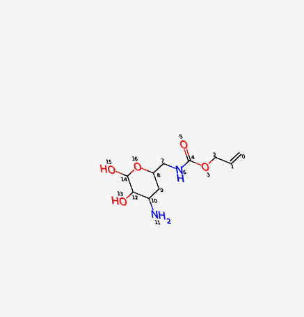 C=CCOC(=O)NCC1CC(N)C(O)C(O)O1